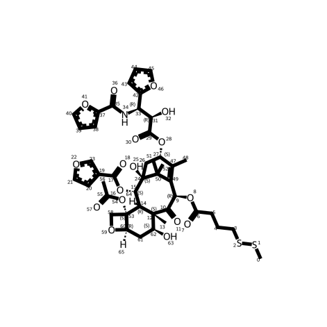 CSSCCCC(=O)O[C@H]1C(=O)[C@@]2(C)[C@H]([C@H](OC(=O)c3ccoc3)[C@]3(O)C[C@H](OC(=O)[C@H](O)[C@@H](NC(=O)c4ccco4)c4ccco4)C(C)=C1C3(C)C)[C@]1(OC(C)=O)CO[C@@H]1C[C@@H]2O